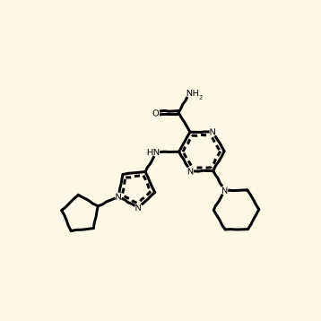 NC(=O)c1ncc(N2CCCCC2)nc1Nc1cnn(C2CCCC2)c1